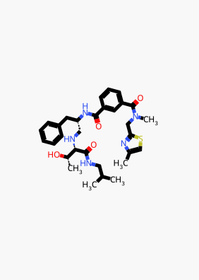 Cc1csc(CN(C)C(=O)c2cccc(C(=O)N[C@H](CN[C@H](C(=O)NCC(C)C)[C@H](C)O)Cc3ccccc3)c2)n1